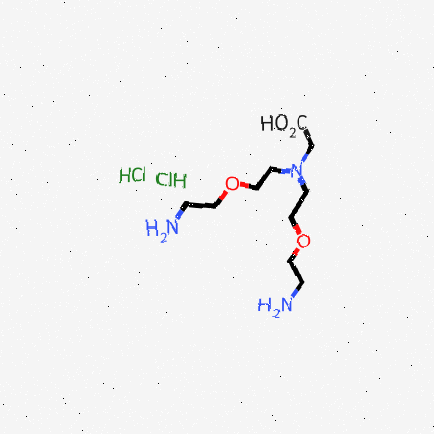 Cl.Cl.NCCOCCN(CCOCCN)CC(=O)O